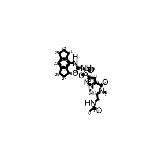 CC(=O)NCCN(C)C(=O)c1cc(S(=O)(=O)NC(=O)Nc2c3c(cc4c2CCC4)CCC3)nn1C